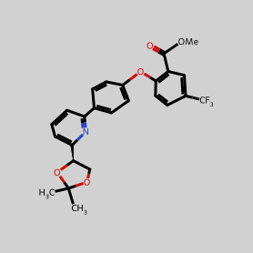 COC(=O)c1cc(C(F)(F)F)ccc1Oc1ccc(-c2cccc([C@H]3COC(C)(C)O3)n2)cc1